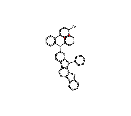 Brc1ccc(-c2ccccc2N(c2ccccc2)c2ccc3c4ccc5c6ccccc6sc5c4n(-c4ccccc4)c3c2)cc1